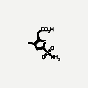 Cc1cc(S(N)(=O)=O)sc1CC(=O)O